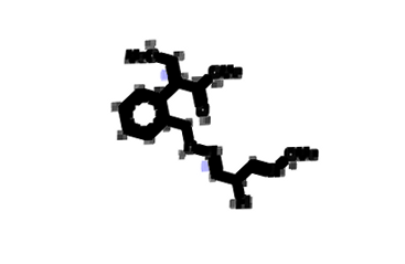 CCC(C=NOC)/C=N/OCc1ccccc1/C(=C\OC)C(=O)OC